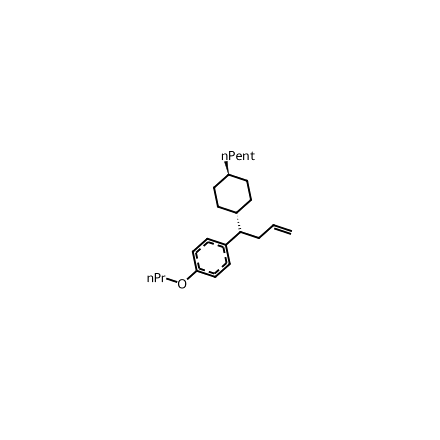 C=CCC(c1ccc(OCCC)cc1)[C@H]1CC[C@H](CCCCC)CC1